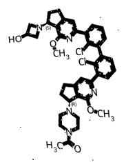 COc1nc(-c2cccc(-c3cccc(-c4cc5c(c(OC)n4)[C@@H](N4CC(O)C4)CC5)c3Cl)c2Cl)cc2c1[C@H](N1CCN(C(C)=O)CC1)CC2